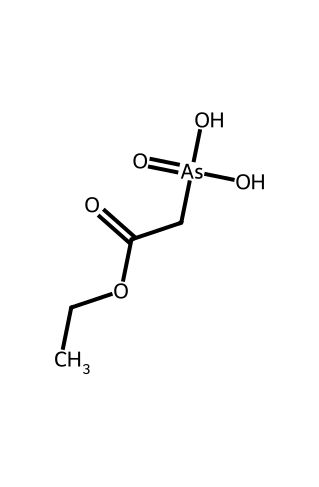 CCOC(=O)C[As](=O)(O)O